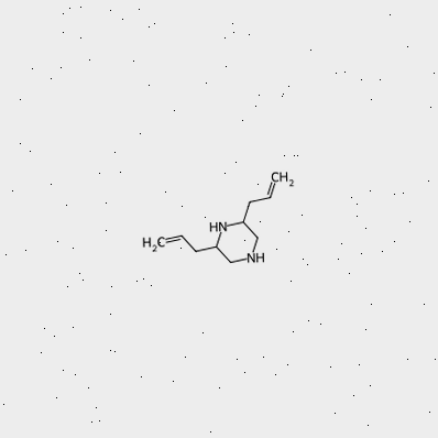 C=CCC1CNCC(CC=C)N1